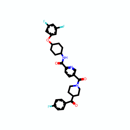 O=C(NC1CCC(Oc2cc(F)cc(F)c2)CC1)c1ccc(C(=O)N2CCC(C(=O)c3ccc(F)cc3)CC2)cn1